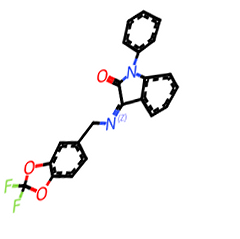 O=C1/C(=N\Cc2ccc3c(c2)OC(F)(F)O3)c2ccccc2N1c1ccccc1